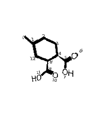 CC1CC[C@@H](C(=O)O)[C@@H](C(=O)O)C1